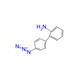 [N-]=[N+]=Nc1ccc(-c2ccccc2N)cc1